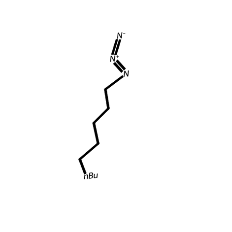 CCCCCCCCCN=[N+]=[N-]